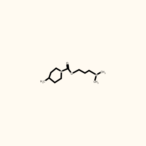 CC1CCN(C(=O)OCCCN(C)C)CC1